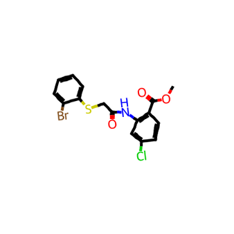 COC(=O)c1ccc(Cl)cc1NC(=O)CSc1ccccc1Br